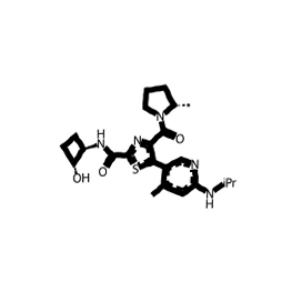 Cc1cc(NC(C)C)ncc1-c1sc(C(=O)N[C@@H]2CC[C@H]2O)nc1C(=O)N1CCC[C@@H]1C